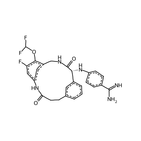 N=C(N)c1ccc(N[C@H]2C(=O)NCc3cc(cc(F)c3OC(F)F)NC(=O)CCc3cccc2c3)cc1